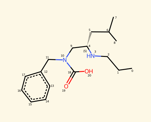 CCCN[C@@H](CC(C)C)CN(Cc1ccccc1)C(=O)O